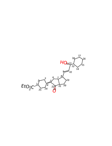 CCOC(=O)C1CCC(=C2CC3C(C=CC(O)C4CCCCC4)CCC3C2=O)CC1